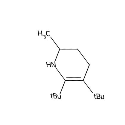 CC1CCC(C(C)(C)C)=C(C(C)(C)C)N1